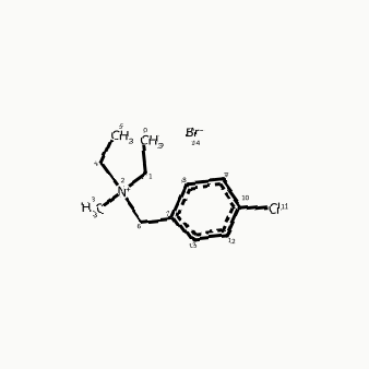 CC[N+](C)(CC)Cc1ccc(Cl)cc1.[Br-]